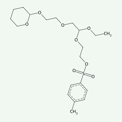 CCOC(COCCOC1CCCCO1)OCCOS(=O)(=O)c1ccc(C)cc1